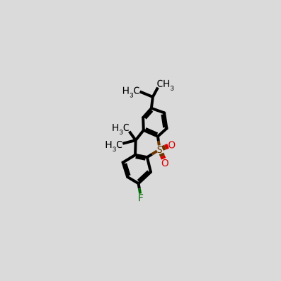 CC(C)c1ccc2c(c1)C(C)(C)c1ccc(F)cc1S2(=O)=O